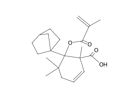 C=C(C)C(=O)OC1(C23CCC(CC2)C3)C(C)(C)CC=CC1(C)C(=O)O